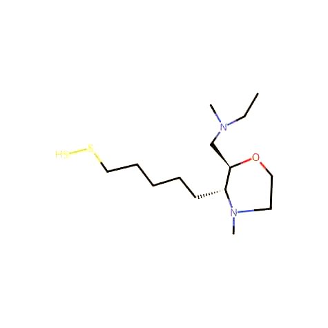 CCN(C)C[C@H]1OCCN(C)[C@@H]1CCCCCSS